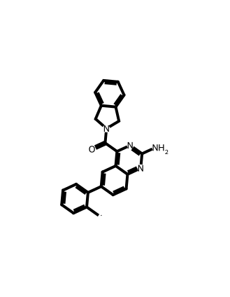 [CH2]c1ccccc1-c1ccc2nc(N)nc(C(=O)N3Cc4ccccc4C3)c2c1